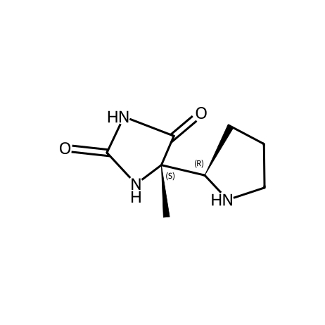 C[C@@]1([C@H]2CCCN2)NC(=O)NC1=O